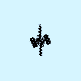 CCCCCCCCS(=O)(=O)c1cc(-c2c3ccccc3cc3ccccc23)sc1-c1sc(-c2c3ccccc3cc3ccccc23)cc1S(=O)(=O)CCCCCCCC